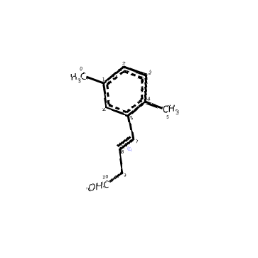 Cc1ccc(C)c(/C=C/C[C]=O)c1